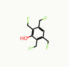 Oc1c(CF)c(CF)cc(CF)c1CF